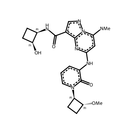 CNc1cc(Nc2cccn([C@@H]3CC[C@H]3OC)c2=O)nc2c(C(=O)N[C@@H]3CC[C@@H]3O)cnn12